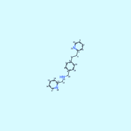 c1ccc(CCc2ccc(CNCc3ccccn3)cc2)nc1